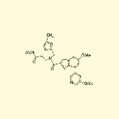 CNC(=O)CCN(Cc1ccc(C)o1)C(=O)c1cc2cc(OC)cc(-c3cncc(OC)c3)c2s1